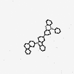 c1ccc(N2c3ccccc3Sc3cc(-c4ccc5c(c4)c4ccccc4n5-c4ccc5ccc6ccccc6c5c4)ccc32)cc1